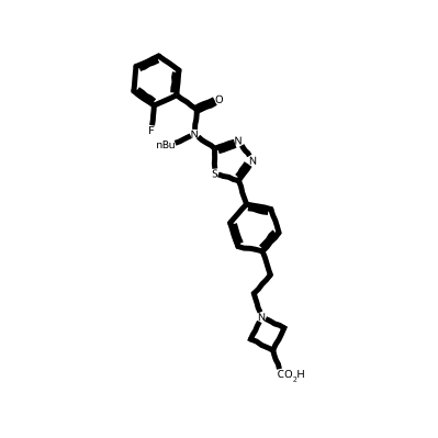 CCCCN(C(=O)c1ccccc1F)c1nnc(-c2ccc(CCN3CC(C(=O)O)C3)cc2)s1